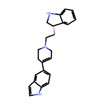 C1=C(c2ccc3[nH]ccc3c2)CCN(CC[C@@H]2CNc3ccccc32)C1